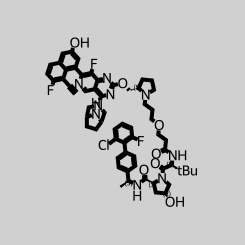 C#Cc1c(F)ccc2cc(O)cc(-c3ncc4c(N5CC6CCC(C5)N6)nc(OC[C@@H]5CCCN5CCCOCCC(=O)N[C@H](C(=O)N5C[C@H](O)C[C@H]5C(=O)N[C@@H](C)c5ccc(-c6c(F)cccc6Cl)cc5)C(C)(C)C)nc4c3F)c12